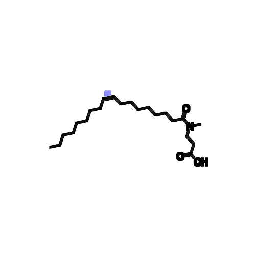 CCCCCCCC/C=C\CCCCCCCC(=O)N(C)CCC(=O)O